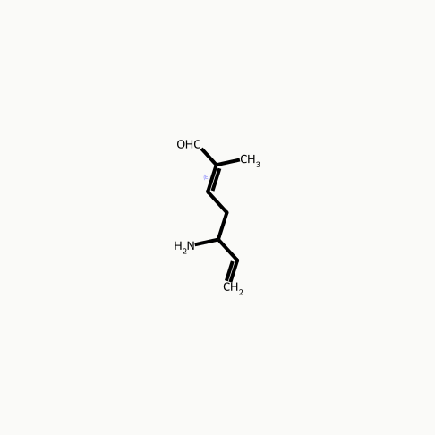 C=CC(N)C/C=C(\C)C=O